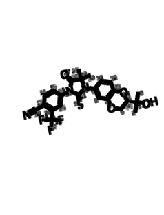 CC(C)(O)[C@H]1COc2cc(N3C(=S)N(c4ccc(C#N)c(C(F)(F)F)c4)C(=O)C3(C)C)ccc2O1